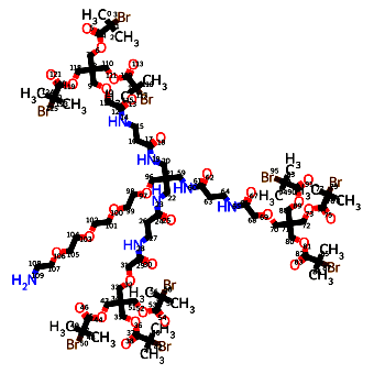 CC(C)(Br)C(=O)OCC(COCC(=O)NCCC(=O)NCC(CNC(=O)CCNC(=O)COCC(COC(=O)C(C)(C)Br)(COC(=O)C(C)(C)Br)COC(=O)C(C)(C)Br)(CNC(=O)CCNC(=O)COCC(COC(=O)C(C)(C)Br)(COC(=O)C(C)(C)Br)COC(=O)C(C)(C)Br)COCCOCCOCCOCCN)(COC(=O)C(C)(C)Br)COC(=O)C(C)(C)Br